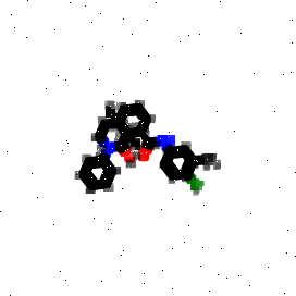 O=C(Nc1ccc(Br)c(C(F)(F)F)c1)[C@H]1CC=C[C@H]2CCN(c3ccccc3)C(=O)[C@@H]12